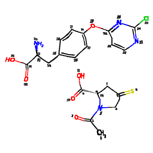 CC(=O)N1CC(=S)C[C@H]1C(=O)O.N[C@@H](Cc1ccc(Oc2ccnc(Cl)n2)cc1)C(=O)O